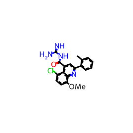 COc1ccc(Cl)c2c(C(=O)NC(=N)N)cc(-c3ccccc3C)nc12